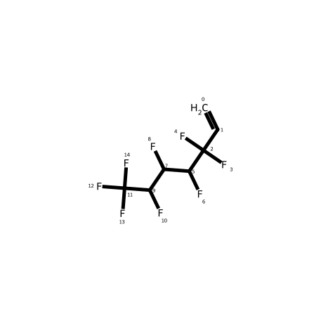 C=CC(F)(F)C(F)C(F)C(F)C(F)(F)F